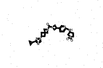 O=C(N1CC(c2ccc(NC3CCS(=O)(=O)C3)nc2)C1)N1CC2(CC(n3cnc(C4CC4)n3)C2)C1